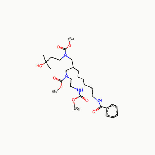 CC(C)(O)CCN(CC(CCCCCCNC(=O)c1ccccc1)CN(CCNC(=O)OC(C)(C)C)C(=O)OC(C)(C)C)C(=O)OC(C)(C)C